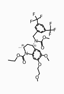 CCOC(=O)N1c2cc(OCCOC)c(OC)cc2[C@@H](N(Cc2cc(C(F)(F)F)cc(C(F)(F)F)c2)C(=O)OC)C[C@H]1C